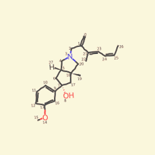 C=C(CN1C[C@H]2C[C@](O)(c3cccc(OC)c3)C[C@@]2(C)C1)/C(C)=C/C=C\C